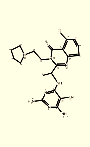 CC(Nc1nc(N)nc(N)c1C#N)c1nc2cccc(Cl)c2c(=O)n1CCN1CCCC1